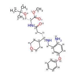 COC(=O)[C@@H](COC(C)(C)C)NC(=O)CC[C@H](NCc1cc(Oc2ccccc2)ccc1N)C1CCOCC1